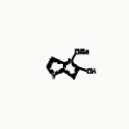 COn1c(O)cc2sccc21